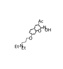 CCN(CC)CCCOc1ccc2cc(C(C)=O)c(=NO)oc2c1